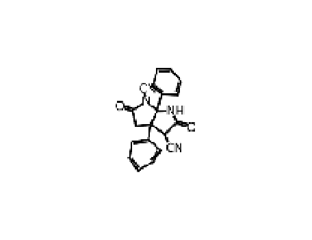 N#CC1C(=O)NC2(c3ccccc3)N(C#N)C(=O)CC12c1ccccc1